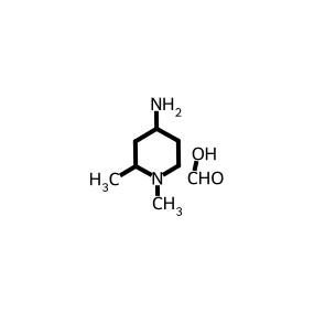 CC1CC(N)CCN1C.O=CO